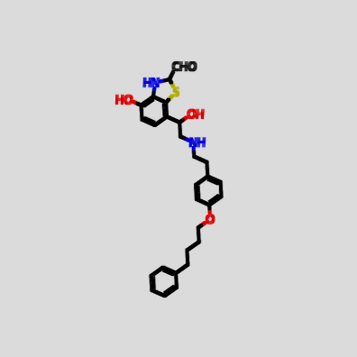 O=CC1Nc2c(O)ccc(C(O)CNCCc3ccc(OCCCCc4ccccc4)cc3)c2S1